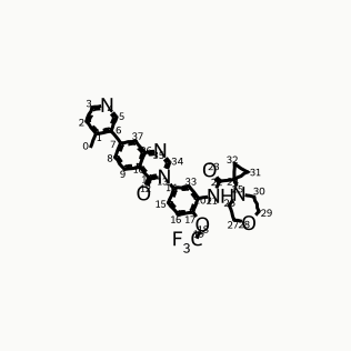 Cc1ccncc1-c1ccc2c(=O)n(-c3ccc(OC(F)(F)F)c(NC(=O)C4(N5CCOCC5)CC4)c3)cnc2c1